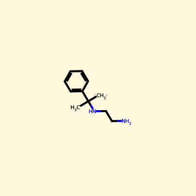 [CH2]C(C)(NCCN)c1ccccc1